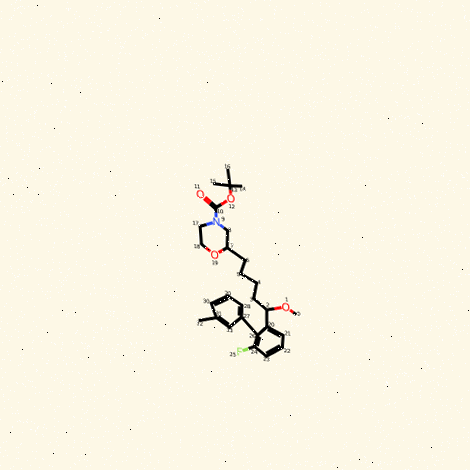 COC(CCCCC1CN(C(=O)OC(C)(C)C)CCO1)c1cccc(F)c1-c1cccc(C)c1